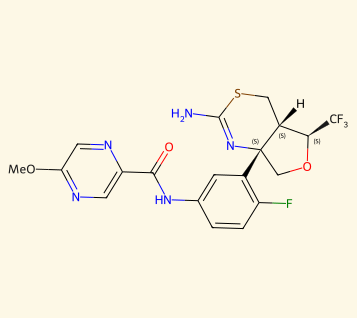 COc1cnc(C(=O)Nc2ccc(F)c([C@]34CO[C@H](C(F)(F)F)[C@H]3CSC(N)=N4)c2)cn1